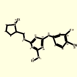 CC[N]c1nc([N]CC2CCCN2CC)nc([N]c2ccc(OC)c(F)c2)n1